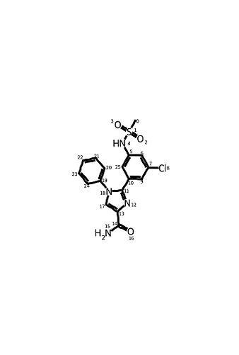 CS(=O)(=O)Nc1cc(Cl)cc(-c2nc(C(N)=O)cn2-c2ccccc2)c1